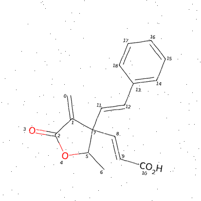 C=C1C(=O)OC(C)C1(C=CC(=O)O)C=Cc1ccccc1